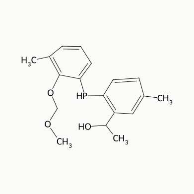 COCOc1c(C)cccc1Pc1ccc(C)cc1C(C)O